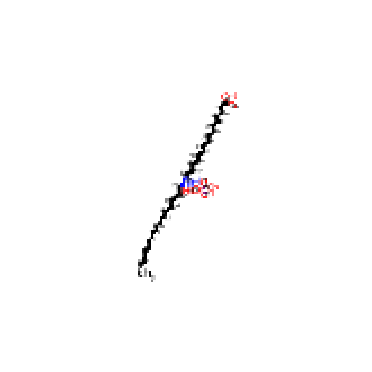 CCCCCCCCCCCCCCCCCCNCCCCCCCCCCCCCCCC(=O)O.O=P(O)(O)O